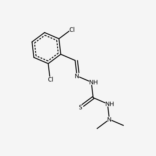 CN(C)NC(=S)N/N=C/c1c(Cl)cccc1Cl